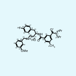 CCCN(CCC)C(=O)c1cc(C)cc(C(=O)NC(Cc2ccc(F)cc2)[C@H](O)CNCc2cccc(OC)c2)c1